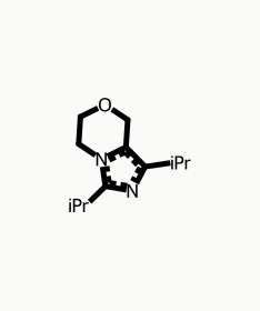 CC(C)c1nc(C(C)C)n2c1COCC2